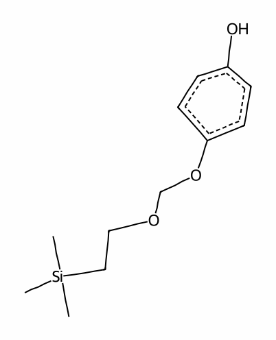 C[Si](C)(C)CCOCOc1ccc(O)cc1